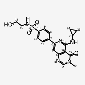 Cn1cnc2cc(-c3ccc(S(=O)(=O)NCCO)cc3)nc(NC3CC3)c2c1=O